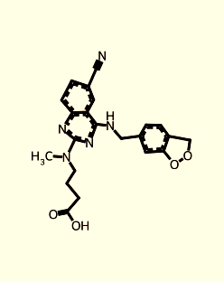 CN(CCCC(=O)O)c1nc(NCc2ccc3c(c2)OOC3)c2cc(C#N)ccc2n1